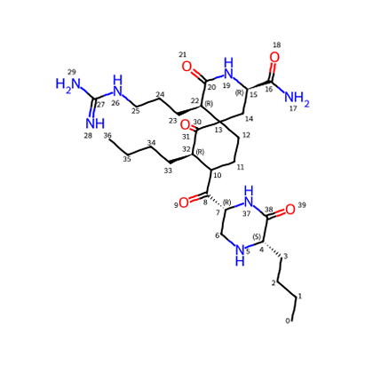 CCCC[C@@H]1NC[C@H](C(=O)C2CCC3(C[C@H](C(N)=O)NC(=O)[C@@H]3CCCNC(=N)N)C(=O)[C@@H]2CCCC)NC1=O